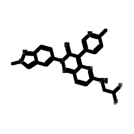 Cc1ccc(-c2c(=O)n(-c3ccc4nn(C)cc4c3)nc3ccc(NCC(F)F)nc23)cn1